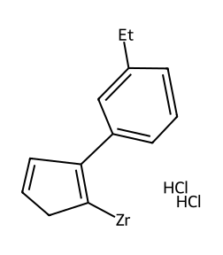 CCc1cccc(C2=[C]([Zr])CC=C2)c1.Cl.Cl